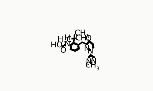 CCC(C)(C)c1c(Cc2nn(-c3cnn(C)c3)ccc2=O)cccc1NC(=O)O